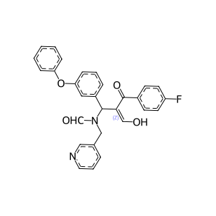 O=CN(Cc1cccnc1)C(/C(=C/O)C(=O)c1ccc(F)cc1)c1cccc(Oc2ccccc2)c1